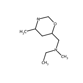 CCN(C)CC1CC(C)[N]CO1